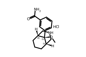 CO[C@]1(c2cccc(C(N)=O)c2)[C@@H]2CCC[C@H]1CNC2.Cl